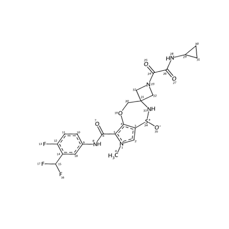 Cn1cc2c(c1C(=O)Nc1ccc(F)c(C(F)F)c1)OCC1(CN(C(=O)C(=O)NC3CC3)C1)N[S+]2[O-]